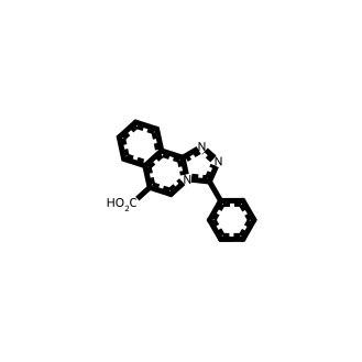 O=C(O)c1cn2c(-c3ccccc3)nnc2c2ccccc12